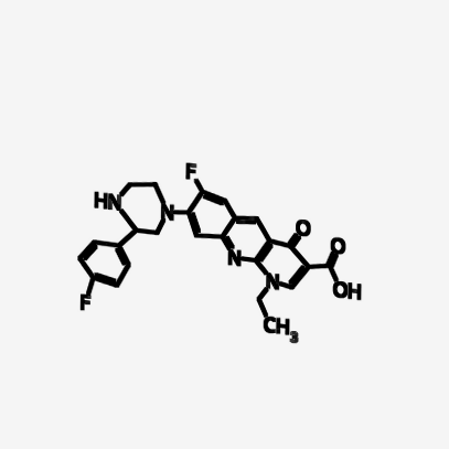 CCn1cc(C(=O)O)c(=O)c2cc3cc(F)c(N4CCNC(c5ccc(F)cc5)C4)cc3nc21